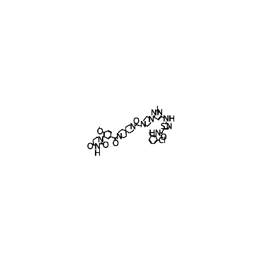 COc1ccc(C(=O)N2CCC3(CCN(C(=O)CN4CCN(c5cc(Nc6ncc(C(=O)Nc7c(C)cccc7Cl)s6)nc(C)n5)CC4)CC3)CC2)cc1N1CCC(=O)NC1=O